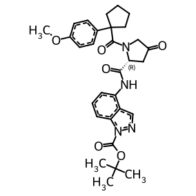 COc1ccc(C2(C(=O)N3CC(=O)C[C@@H]3C(=O)Nc3cccc4c3cnn4C(=O)OC(C)(C)C)CCCC2)cc1